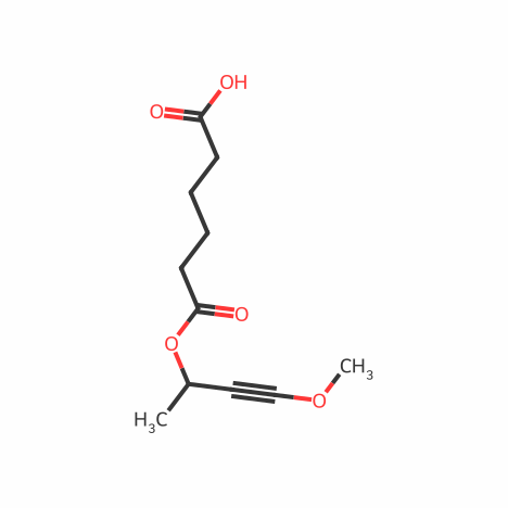 COC#CC(C)OC(=O)CCCCC(=O)O